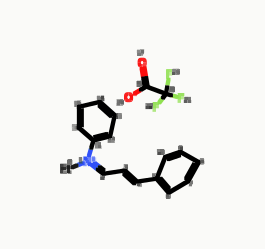 CC[N+](=CC=Cc1ccccc1)c1ccccc1.O=C([O-])C(F)(F)F